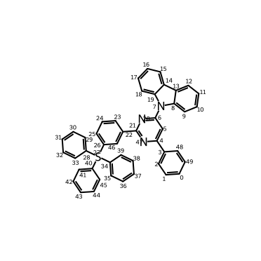 c1ccc(-c2cc(-n3c4ccccc4c4ccccc43)nc(-c3cccc(S(c4ccccc4)(c4ccccc4)c4ccccc4)c3)n2)cc1